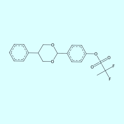 CC(F)(F)S(=O)(=O)Oc1ccc(C2OCC(c3ccccc3)CO2)cc1